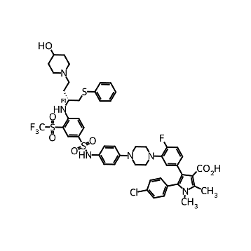 Cc1c(C(=O)O)c(-c2ccc(F)c(N3CCN(c4ccc(NS(=O)(=O)c5ccc(N[C@H](CCN6CCC(O)CC6)CSc6ccccc6)c(S(=O)(=O)C(F)(F)F)c5)cc4)CC3)c2)c(-c2ccc(Cl)cc2)n1C